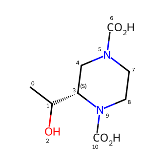 CC(O)[C@@H]1CN(C(=O)O)CCN1C(=O)O